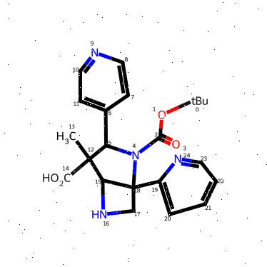 CC(C)(C)OC(=O)N1C(c2ccncc2)C(C)(C(=O)O)C2NCC21c1ccccn1